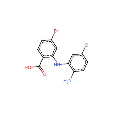 Nc1ccc(Cl)cc1Nc1cc(Br)ccc1C(=O)O